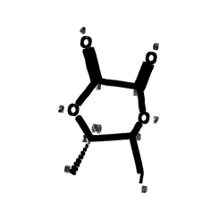 C[C@@H]1OC(=O)C(=O)OC1I